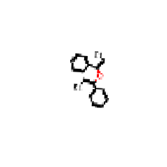 CC/C=C(/O/C(=C/CC)c1ccccc1)c1ccccc1